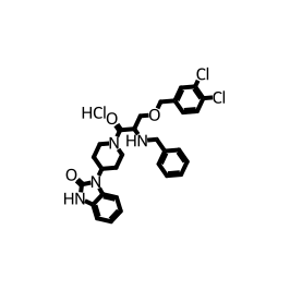 Cl.O=C(C(COCc1ccc(Cl)c(Cl)c1)NCc1ccccc1)N1CCC(n2c(=O)[nH]c3ccccc32)CC1